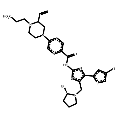 C=CC1CN(c2cnc(C(=O)Nc3nc(-c4cc(Cl)cs4)c(CN4CCC[C@H]4CC)s3)cn2)CCN1CCC(=O)O